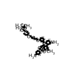 Cc1ccc(S(=O)(=O)n2ccc3c(-c4cc(N)ccc4Oc4cccc(OCCOCCOC5CCN(C(=O)OC(C)(C)C)CC5)c4)cn(C)c(=O)c32)cc1